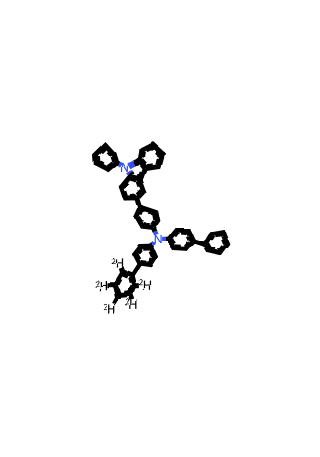 [2H]c1c([2H])c([2H])c(-c2ccc(N(c3ccc(-c4ccccc4)cc3)c3ccc(-c4ccc5c(c4)c4ccccc4n5-c4ccccc4)cc3)cc2)c([2H])c1[2H]